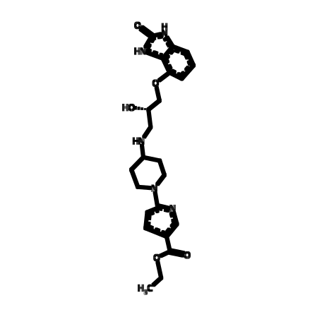 CCOC(=O)c1ccc(N2CCC(NC[C@H](O)COc3cccc4[nH]c(=O)[nH]c34)CC2)nc1